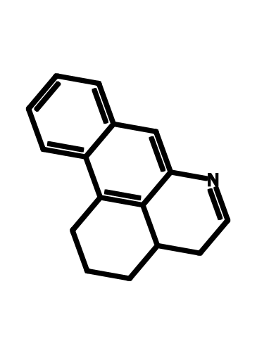 C1=Nc2cc3ccccc3c3c2C(C1)CCC3